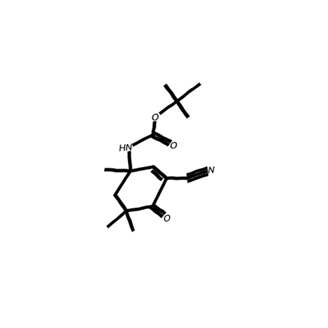 CC1(NC(=O)OC(C)(C)C)C=C(C#N)C(=O)C(C)(C)C1